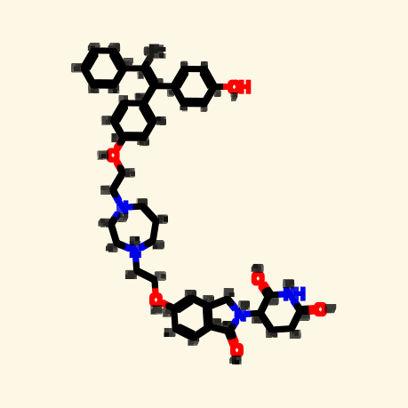 CC/C(=C(\c1ccc(O)cc1)c1ccc(OCCN2CCCN(CCOc3ccc4c(c3)CN(C3CCC(=O)NC3=O)C4=O)CC2)cc1)c1ccccc1